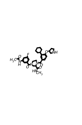 CNC(=O)C1CN(C(=O)c2cc(F)cc(NC(C)=O)c2)CCN1C(=O)c1ccc(O[C@H]2CCNC2)c(C2CCCCC2)c1